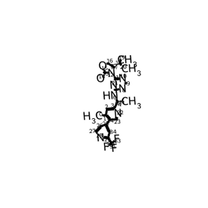 Cc1cc([C@H](C)Nc2ncnc(N3C(=O)OC[C@@H]3C(C)C)n2)ncc1-c1ccnc(C(F)(F)F)c1